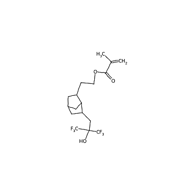 C=C(C)C(=O)OCCC1CC2CC(CC(O)(C(F)(F)F)C(F)(F)F)C1C2